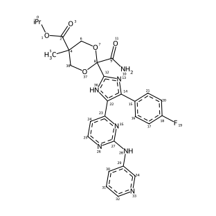 CC(C)OC(=O)C1(C)COC(C(N)=O)(c2nc(-c3ccc(F)cc3)c(-c3ccnc(Nc4cccnc4)n3)[nH]2)OC1